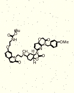 COc1ccc(CN2C(=O)COc3ccc(N4C(=O)O[C@@H]5CCC(N(C)CCn6c(=O)ccc7ccc(OCCNC(=O)OC(C)(C)C)cc76)C[C@H]54)nc32)cc1